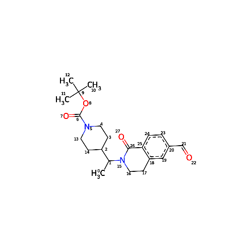 CC(C1CCN(C(=O)OC(C)(C)C)CC1)N1CCc2cc(C=O)ccc2C1=O